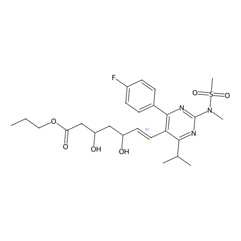 CCCOC(=O)CC(O)CC(O)/C=C/c1c(-c2ccc(F)cc2)nc(N(C)S(C)(=O)=O)nc1C(C)C